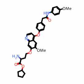 COc1ccc(NC(=O)Cc2ccc(Oc3ccnc4cc(OCCC(N)C(=O)OC5CCCC5)c(OC)cc34)cc2)cc1